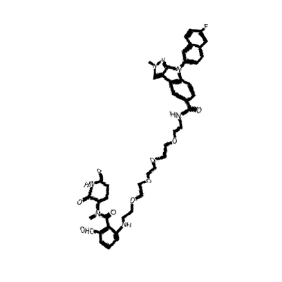 CN(C(=O)c1c(C=O)cccc1NCCOCCOCCOCCOCCNC(=O)c1ccc2c(c1)c1cn(C)nc1n2-c1ccc2cc(F)ccc2c1)C1CCC(=O)NC1=O